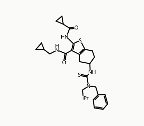 CC(C)CN(Cc1ccccc1)C(=S)NC1CCc2sc(NC(=O)C3CC3)c(C(=O)NCC3CC3)c2C1